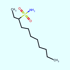 CCCCCCCCC(CC)S(N)(=O)=O